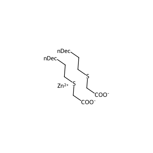 CCCCCCCCCCCCSCC(=O)[O-].CCCCCCCCCCCCSCC(=O)[O-].[Zn+2]